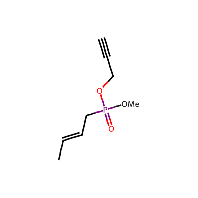 C#CCOP(=O)(C/C=C/C)OC